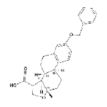 C[C@]12CC[C@@H]3c4ccc(OCc5ccccc5)cc4CC[C@H]3[C@@H]1C(C(=O)O)CO2